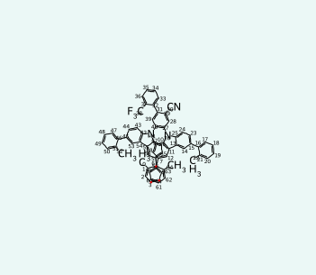 Cc1ccccc1-c1ccc2c(c1)c1cc(-c3ccccc3C)ccc1n2-c1cc(C#N)c(-c2ccccc2C(F)(F)F)cc1-n1c2ccc(-c3ccccc3C)cc2c2cc(-c3ccccc3C)ccc21